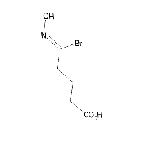 O=C(O)CCCC(Br)=NO